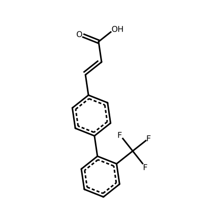 O=C(O)C=Cc1ccc(-c2ccccc2C(F)(F)F)cc1